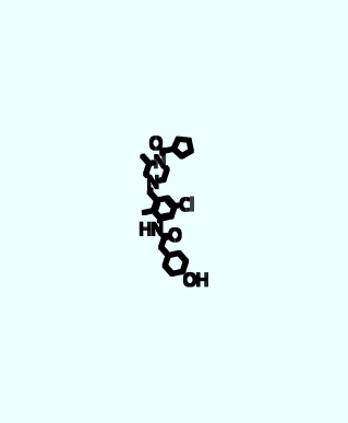 Cc1c(CN2CCN(C(=O)C3CCCC3)C(C)C2)cc(Cl)cc1NC(=O)CC1CCC(O)CC1